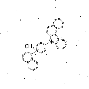 Cc1ccc2ccccc2c1-c1ccc(-n2c3ccccc3c3c4ccccc4ccc32)cc1